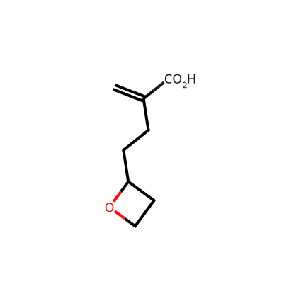 C=C(CCC1CCO1)C(=O)O